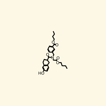 CCCCOC(=O)CN(Cc1cccc(C(=O)OCCCC)c1)C(=O)C1CCc2cc(O)ccc2C1